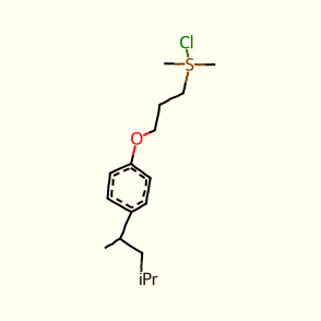 CC(C)CC(C)c1ccc(OCCCS(C)(C)Cl)cc1